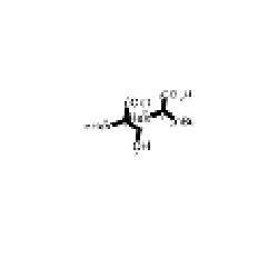 CCCCCCC(CCCC)C(=O)O.CCCCCCCCC(CO)CCCCCC